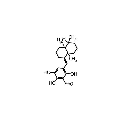 CC1(C)CCC[C@]2(C)/C(=C/c3cc(O)c(O)c(C=O)c3O)CCC[C@@H]12